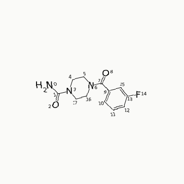 NC(=O)N1CCN(C(=O)c2cccc(F)c2)CC1